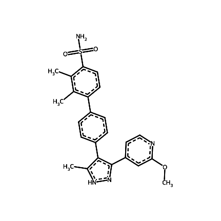 COc1cc(-c2n[nH]c(C)c2-c2ccc(-c3ccc(S(N)(=O)=O)c(C)c3C)cc2)ccn1